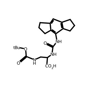 CC(C)(C)OC(=O)NCC(NC(=O)Nc1c2c(cc3c1CCC3)CCC2)C(=O)O